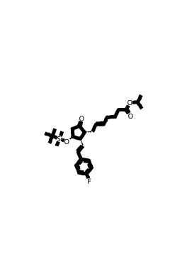 CC(C)OC(=O)CCCC=CC[C@H]1C(=O)C[C@@H](O[Si](C)(C)C(C)(C)C)[C@H]1C=Cc1ccc(F)cc1